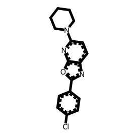 Clc1ccc(-c2nc3ccc(N4CCCCC4)nc3o2)cc1